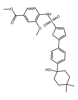 COC(=O)c1ccc(NS(=O)(=O)c2ccc(-c3ccc(C4(O)CCC(C)(C)CC4)cc3)s2)c(OC)c1